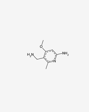 COc1cc(N)nc(C)c1CN